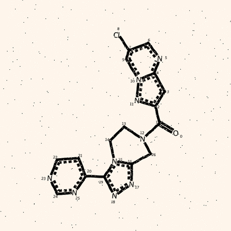 O=C(c1cc2ncc(Cl)cn2n1)N1CCn2c(nnc2-c2ccncn2)C1